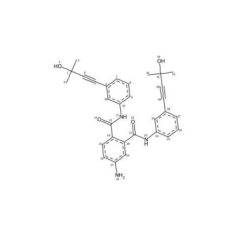 CC(C)(O)C#Cc1cccc(NC(=O)c2ccc(N)cc2C(=O)Nc2cccc(C#CC(C)(C)O)c2)c1